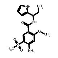 CCC(NC(=O)c1cc(S(C)(=O)=O)c(N)cc1OC)c1ccc[nH]1